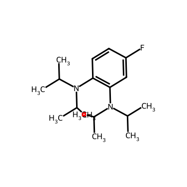 CC(C)N(c1ccc(F)cc1N(C(C)C)C(C)C)C(C)C